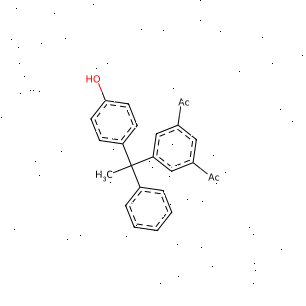 CC(=O)c1cc(C(C)=O)cc(C(C)(c2ccccc2)c2ccc(O)cc2)c1